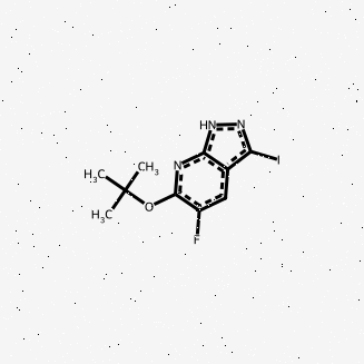 CC(C)(C)Oc1nc2[nH]nc(I)c2cc1F